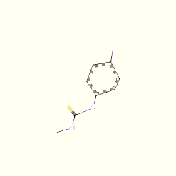 CNC(=S)Nc1ccc(I)cc1